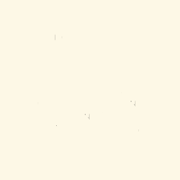 CC1(CO)CCN(c2cc(Cl)ncc2C#CCCO)CC1